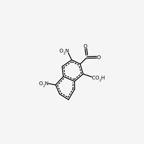 O=C(O)c1c(I(=O)=O)c([N+](=O)[O-])cc2c([N+](=O)[O-])cccc12